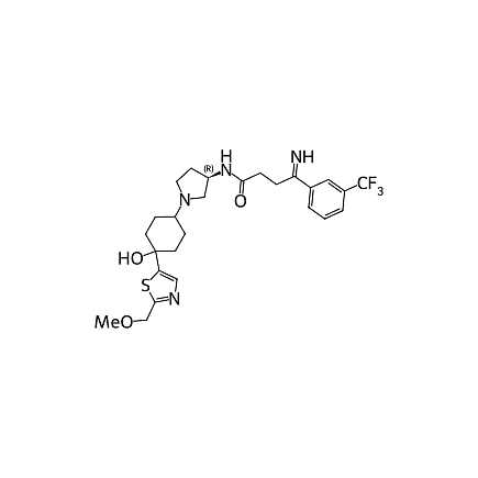 COCc1ncc(C2(O)CCC(N3CC[C@@H](NC(=O)CCC(=N)c4cccc(C(F)(F)F)c4)C3)CC2)s1